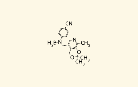 BN(Cc1cnc(C)c2c1COC(C)(C)O2)c1ccc(C#N)cc1